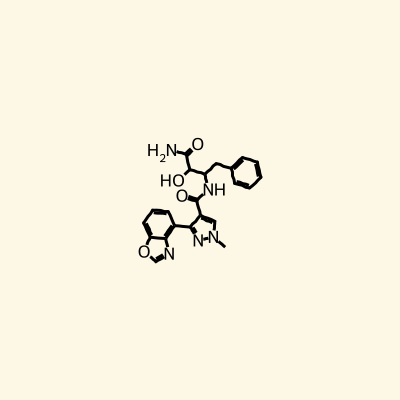 Cn1cc(C(=O)NC(Cc2ccccc2)C(O)C(N)=O)c(-c2cccc3ocnc23)n1